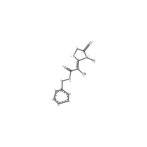 CCN1C(=O)CS/C1=C(/C#N)C(=O)OCc1ccccc1